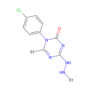 CCNNc1nc(CC)n(-c2ccc(Cl)cc2)c(=O)n1